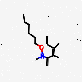 C=C/C(C)=C(/C)C(=C)N(C)OCCCCCC